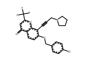 O=c1cc(C(F)(F)F)oc2c(C#CCN3CCCC3)c(OCc3ccc(Cl)cc3)ccc12